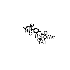 COC(=O)[C@H](Cc1ccc(-n2c(=O)cc(C)n(C)c2=O)cc1)NC(=O)OC(C)(C)C